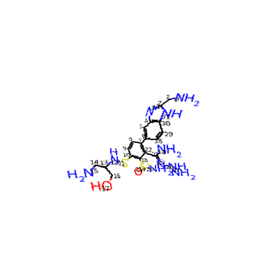 NCc1nc2cc(-c3ccc(SNC(CN)CO)c([S+](N)[O-])c3/C(N)=N/NN)ccc2[nH]1